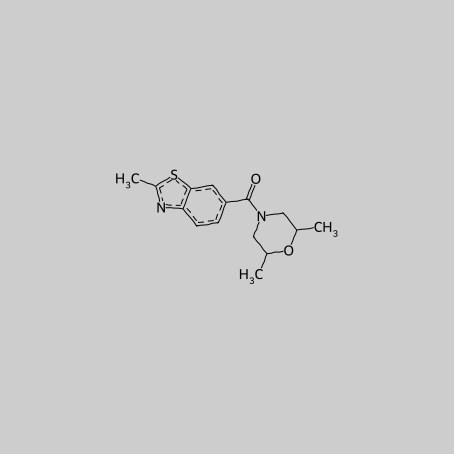 Cc1nc2ccc(C(=O)N3CC(C)OC(C)C3)cc2s1